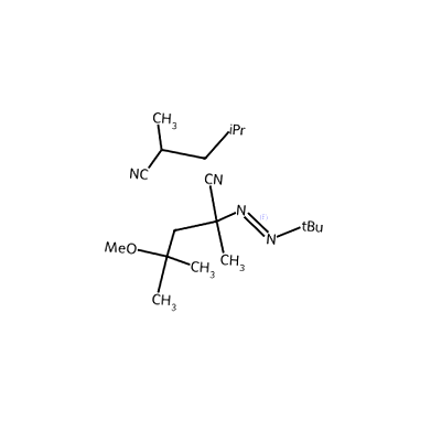 CC(C)CC(C)C#N.COC(C)(C)CC(C)(C#N)/N=N/C(C)(C)C